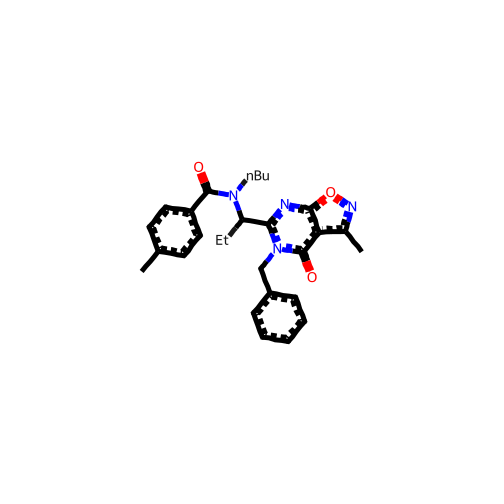 CCCCN(C(=O)c1ccc(C)cc1)C(CC)c1nc2onc(C)c2c(=O)n1Cc1ccccc1